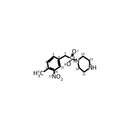 Cc1ccc(CS(=O)(=O)N2CCNCC2)cc1[N+](=O)[O-]